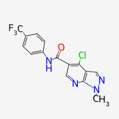 Cn1ncc2c(Cl)c(C(=O)Nc3ccc(C(F)(F)F)cc3)cnc21